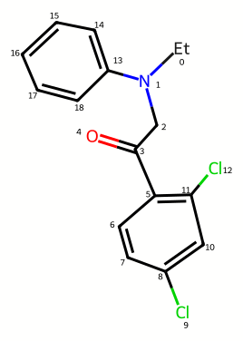 CCN(CC(=O)c1ccc(Cl)cc1Cl)c1ccccc1